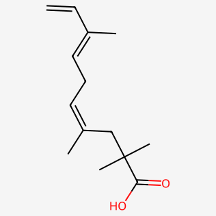 C=CC(C)=CCC=C(C)CC(C)(C)C(=O)O